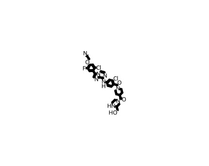 N#CCOc1cc(Cl)c(-c2cnc3c(Nc4ccc(C(=O)N5CCC(C(=O)N6CCNC(CO)C6)CC5)c(Cl)c4)nccn23)cc1F